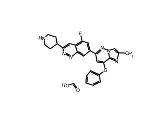 Cc1cn2nc(-c3cc(F)c4cc(C5CCNCC5)nnc4c3)cc(Oc3ccccc3)c2n1.O=CO